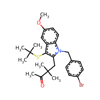 COc1ccc2c(c1)c(SC(C)(C)C)c(CC(C)(C)C(C)=O)n2Cc1ccc(Br)cc1